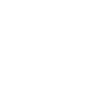 CC(C)=O.O=CC(O)C(O)C(O)C(O)CO.c1ccoc1